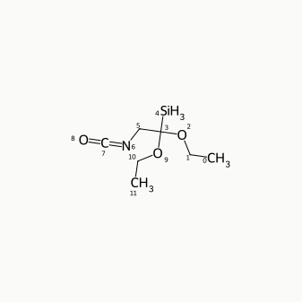 CCOC([SiH3])(CN=C=O)OCC